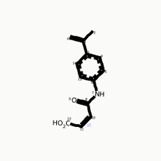 C=C(C)c1ccc(NC(=O)/C=C\C(=O)O)cc1